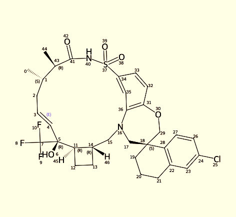 C[C@H]1C/C=C/[C@@](O)(C(F)(F)F)[C@@H]2CC[C@H]2CN2C[C@@]3(CCCc4cc(Cl)ccc43)COc3ccc(cc32)S(=O)(=O)NC(=O)[C@@H]1C